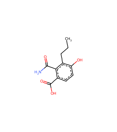 CCCc1c(O)ccc(C(=O)O)c1C(N)=O